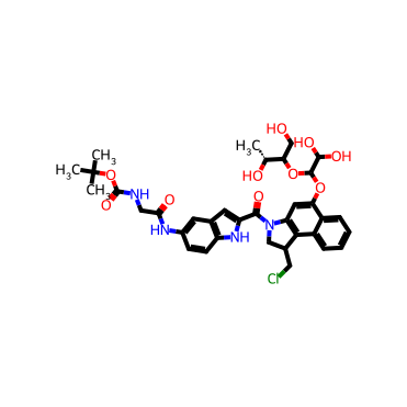 C[C@@H](O)C(CO)OC(Oc1cc2c(c3ccccc13)C(CCl)CN2C(=O)c1cc2cc(NC(=O)CNC(=O)OC(C)(C)C)ccc2[nH]1)C(O)O